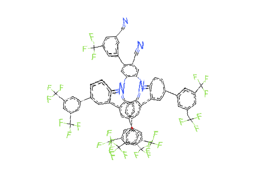 N#Cc1cc(-c2cc(-n3c4ccc(-c5cc(C(F)(F)F)cc(C(F)(F)F)c5)cc4c4cc(-c5cc(C(F)(F)F)cc(C(F)(F)F)c5)ccc43)c(-n3c4ccc(-c5cc(C(F)(F)F)cc(C(F)(F)F)c5)cc4c4cc(-c5cc(C(F)(F)F)cc(C(F)(F)F)c5)ccc43)cc2C#N)cc(C(F)(F)F)c1